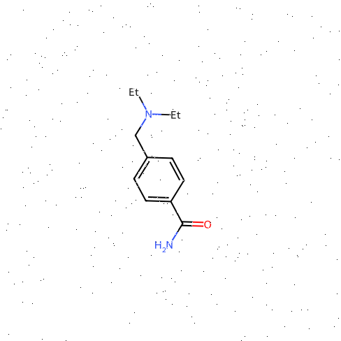 CCN(CC)Cc1ccc(C(N)=O)cc1